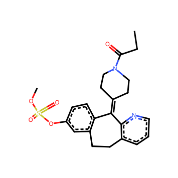 CCC(=O)N1CCC(=C2c3ccc(OS(=O)(=O)OC)cc3CCc3cccnc32)CC1